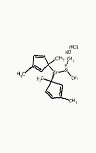 CC1=C[C](C)([Zr]([SiH](C)C)[C]2(C)C=CC(C)=C2)C=C1.Cl.Cl